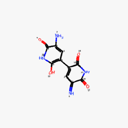 N=C1C=C(c2cc(N)c(=O)[nH]c2O)C(=O)NC1=O